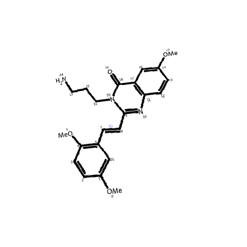 COc1ccc(OC)c(/C=C/c2nc3ccc(OC)cc3c(=O)n2CCCN)c1